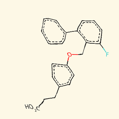 O=C(O)CCc1ccc(OCc2c(F)cccc2-c2ccccc2)cc1